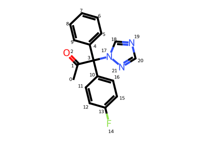 CC(=O)C(c1ccccc1)(c1ccc(F)cc1)n1cncn1